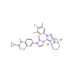 Cc1cc(-n2nc3c(c2-n2ccn(-c4ccc(N(C)C(=O)C5CC5)c(Cl)c4)c2=O)[C@@H]2CCC[C@H](C3)N2)cc(C)c1F